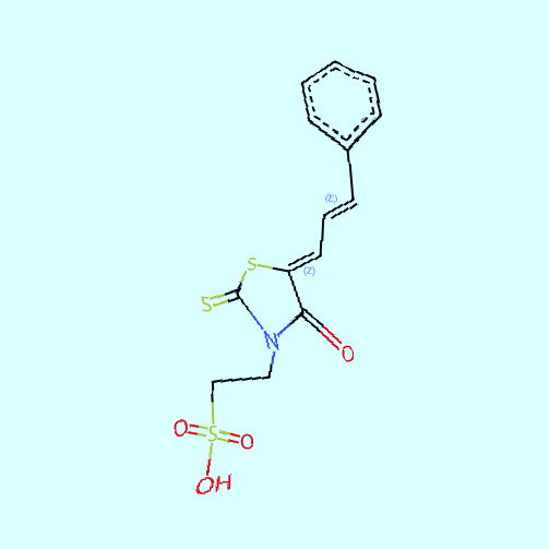 O=C1/C(=C/C=C/c2ccccc2)SC(=S)N1CCS(=O)(=O)O